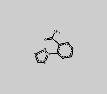 NC(=O)c1ccccc1-n1ncnn1